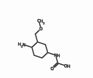 COCC1CC(NC(=O)O)CCC1N